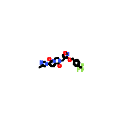 Cc1cn(-c2ccc3n(c2=O)CCN(Cc2conc2OCc2ccc(C(F)(F)F)cc2)C3=O)cn1